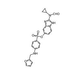 O=CN(c1nc2cc(OS(=O)(=O)c3ccc(NCc4ccco4)cc3)ccc2[nH]1)C1CC1